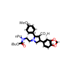 CCCN(CCN1CC(c2ccc3c(c2)OCO3)C(C(=O)O)C1c1ccc(OC)cc1)C(=O)OCC(C)C